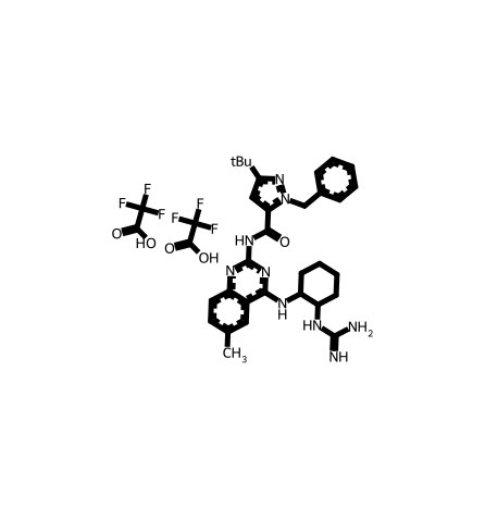 Cc1ccc2nc(NC(=O)c3cc(C(C)(C)C)nn3Cc3ccccc3)nc(NC3CCCCC3NC(=N)N)c2c1.O=C(O)C(F)(F)F.O=C(O)C(F)(F)F